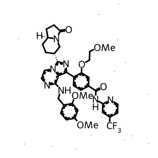 COCCOc1cc(C(=O)Nc2cc(C(F)(F)F)ccn2)ccc1-c1nc([C@@H]2CC[C@H]3CCC(=O)N3C2)n2ccnc(NCc3ccc(OC)cc3OC)c12